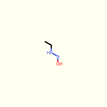 CCN[N]O